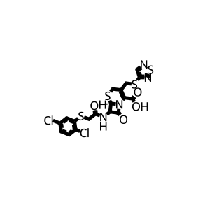 O=C(CSc1cc(Cl)ccc1Cl)NC1C(=O)N2C(C(=O)O)=C(CSc3cnsn3)CS[C@H]12